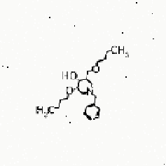 CCCCOC[C@H]1CN(Cc2ccccc2)C[C@@H](OCCCC)[C@@H]1O